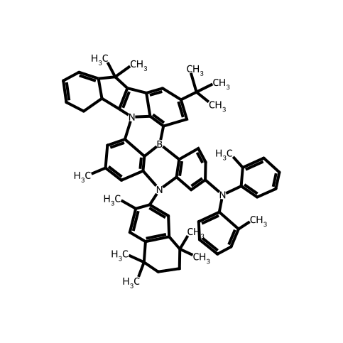 Cc1cc2c3c(c1)-n1c4c(c5cc(C(C)(C)C)cc(c51)B3c1ccc(N(c3ccccc3C)c3ccccc3C)cc1N2c1cc2c(cc1C)C(C)(C)CCC2(C)C)C(C)(C)C1=CC=CCC14